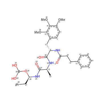 COc1ccc(C[C@H](NC(=O)CCc2ccccc2)C(=O)N[C@@H](C)C(=O)N[C@@H](CC(C)C)OB(O)O)c(OC)c1OC